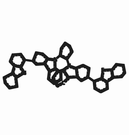 c1ccc(-n2c3ccccc3c3cc(-c4cccc5c4sc4ccccc45)ccc32)c(-n2c3ccccc3c3cc(-c4cccc5c4sc4ccccc45)ccc32)c1